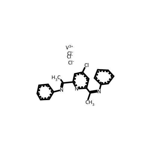 CC(=Nc1ccccc1)c1cc(Cl)cc(C(C)=Nc2ccccc2)n1.[Cl-].[Cl-].[Cl-].[V+3]